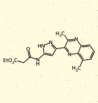 CCOC(=O)CC(=O)Nc1cc(-c2nc3c(C)cccc3nc2C)n[nH]1